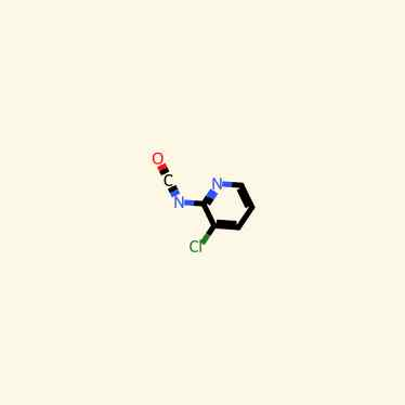 O=C=Nc1ncccc1Cl